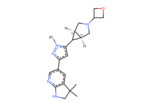 CC(C)n1nc(-c2cnc3c(c2)C(C)(C)CN3)cc1C1[C@H]2CN(C3COC3)C[C@@H]12